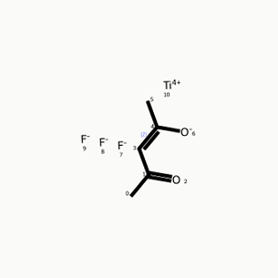 CC(=O)/C=C(/C)[O-].[F-].[F-].[F-].[Ti+4]